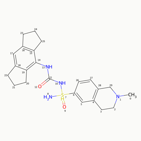 CN1CCc2cc([SH](N)(=O)NC(=O)Nc3c4c(cc5c3CCC5)CCC4)ccc2C1